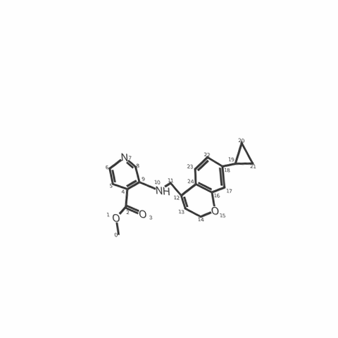 COC(=O)c1ccncc1NCC1=CCOc2cc(C3CC3)ccc21